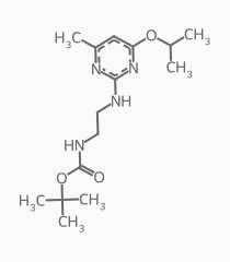 Cc1cc(OC(C)C)nc(NCCNC(=O)OC(C)(C)C)n1